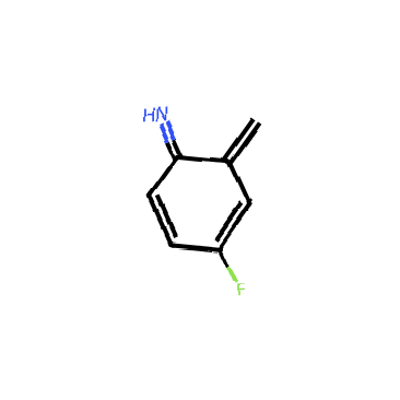 C=C1C=C(F)C=CC1=N